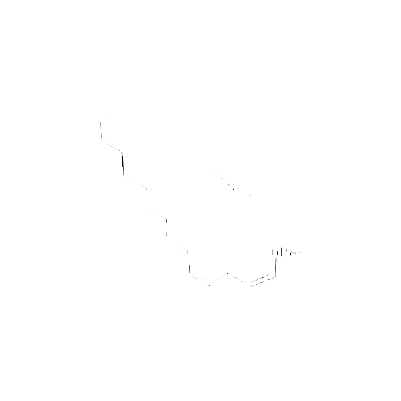 CCCCC/C=C\C/C=C\CCCCCCC[CH2][Zn+].O=[N+]([O-])[O-]